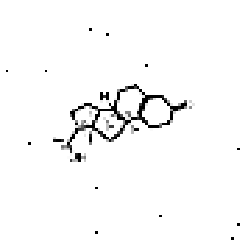 C[C@H](O)[C@H]1CC[C@H]2[C@@H]3CCC4=C(CCC(=O)C4)[C@H]3CC[C@]12C